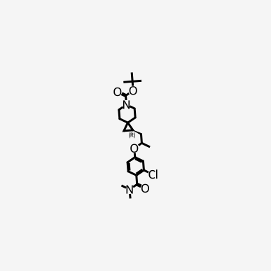 CC(C[C@H]1CC12CCN(C(=O)OC(C)(C)C)CC2)Oc1ccc(C(=O)N(C)C)c(Cl)c1